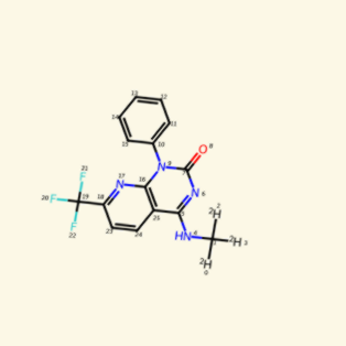 [2H]C([2H])([2H])Nc1nc(=O)n(-c2ccccc2)c2nc(C(F)(F)F)ccc12